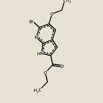 CCOC(=O)c1cc2cc(OCC)c(Br)nc2[nH]1